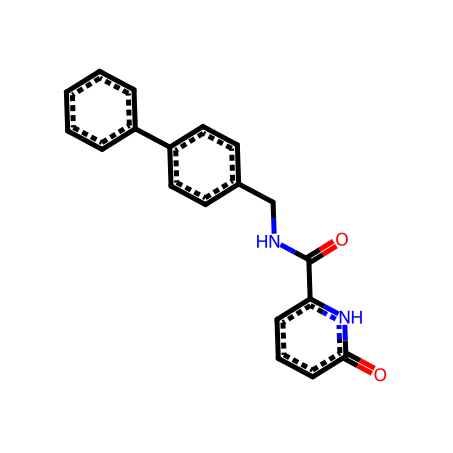 O=C(NCc1ccc(-c2ccccc2)cc1)c1cccc(=O)[nH]1